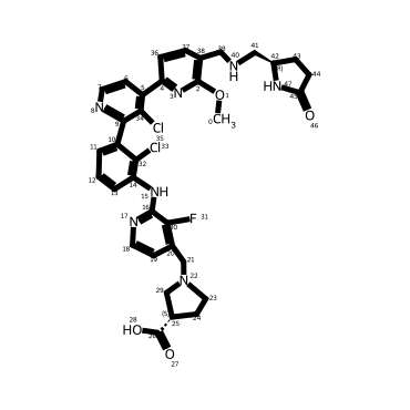 COc1nc(-c2ccnc(-c3cccc(Nc4nccc(CN5CC[C@H](C(=O)O)C5)c4F)c3Cl)c2Cl)ccc1CNC[C@H]1CCC(=O)N1